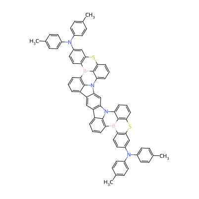 Cc1ccc(N(c2ccc(C)cc2)c2ccc3c(c2)Sc2cccc4c2B3c2cccc3c5cc6c7cccc8c7n(c6cc5n-4c23)-c2cccc3c2B8c2ccc(N(c4ccc(C)cc4)c4ccc(C)cc4)cc2S3)cc1